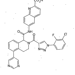 O=C(O)c1ccc2cc(NC(=O)C3c4cccc(-c5cncnc5)c4CCN3C(=O)c3cn(-c4cccc(Cl)c4F)nn3)ccc2n1